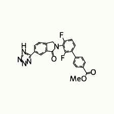 COC(=O)c1ccc(-c2ccc(F)c(N3Cc4ccc(-c5nnn[nH]5)cc4C3=O)c2F)cc1